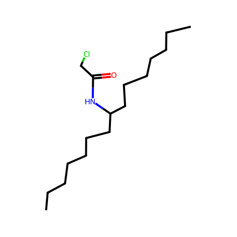 CCCCCCCC(CCCCCCC)NC(=O)CCl